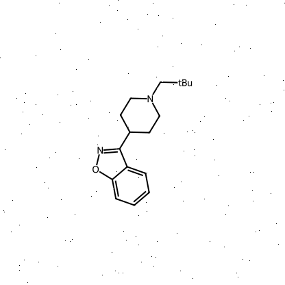 CC(C)(C)CN1CCC(c2noc3ccccc23)CC1